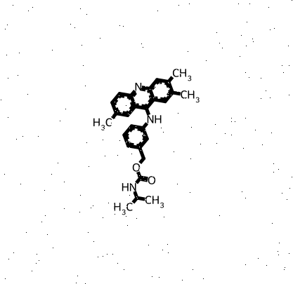 Cc1ccc2nc3cc(C)c(C)cc3c(Nc3cccc(COC(=O)NC(C)C)c3)c2c1